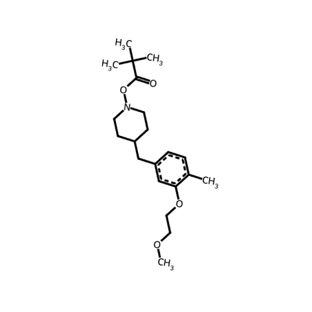 COCCOc1cc(CC2CCN(OC(=O)C(C)(C)C)CC2)ccc1C